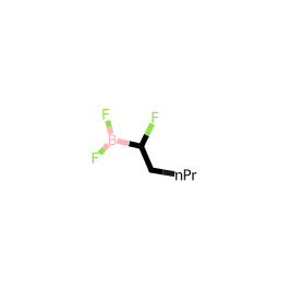 CCCCC(F)B(F)F